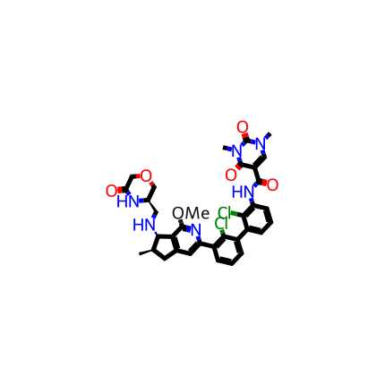 COc1nc(-c2cccc(-c3cccc(NC(=O)c4cn(C)c(=O)n(C)c4=O)c3Cl)c2Cl)cc2c1[C@@H](NC[C@@H]1COCC(=O)N1)[C@H](C)C2